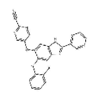 N#Cc1ncc(Oc2cc3[nH]c(-c4cnccn4)nc3cc2Oc2ccccc2F)cn1